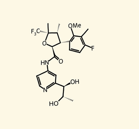 COc1c([C@@H]2[C@@H](C(=O)Nc3ccnc([C@@H](O)[C@H](C)O)c3)O[C@](C)(C(F)(F)F)[C@@H]2C)ccc(F)c1C